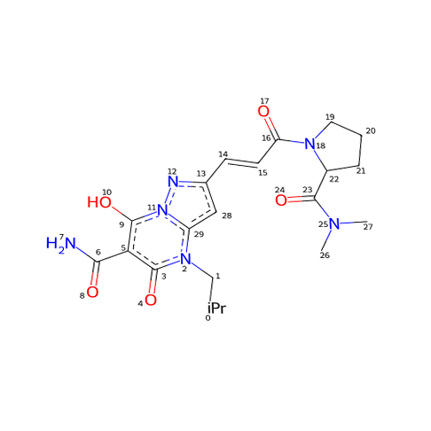 CC(C)Cn1c(=O)c(C(N)=O)c(O)n2nc(C=CC(=O)N3CCCC3C(=O)N(C)C)cc12